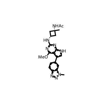 COc1nc(N[C@H]2C[C@@](C)(NC(C)=O)C2)nc2[nH]cc(-c3ccc4nnn(C)c4c3)c12